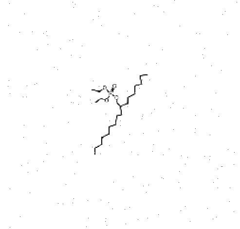 CCCCCCCCCC(CCCCCCC)COP(=O)(OCC)OCC